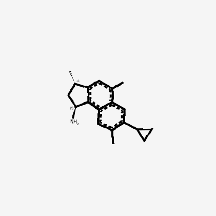 Cc1cc2c3c(cc(C)c2cc1C1CC1)[C@@H](C)C[C@@H]3N